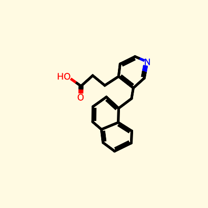 O=C(O)CCc1ccncc1Cc1cccc2ccccc12